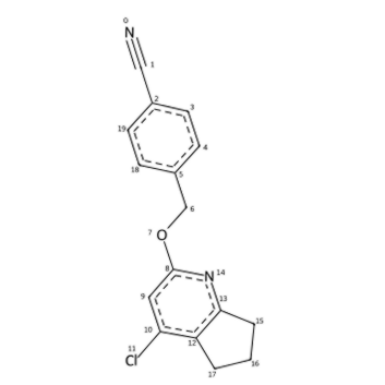 N#Cc1ccc(COc2cc(Cl)c3c(n2)CCC3)cc1